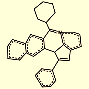 N=C(c1cc2ccccc2cc1C1C(c2ccccc2)=Cc2ccccc21)C1CCCCC1